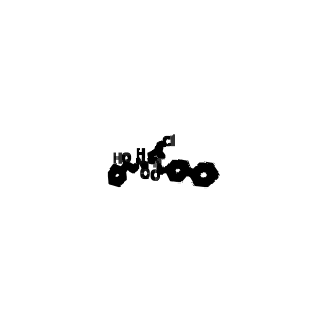 O=C(NCC(O)c1ccccc1)[C@@H]1C/C(=C/Cl)CN1C(=O)c1ccc(-c2ccccc2)cc1